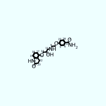 NC(=O)c1ccc(OCCNCC(O)COc2cccc3c2CCC(=O)N3)cc1